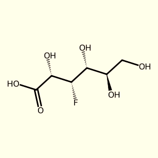 O=C(O)[C@H](O)[C@@H](F)[C@H](O)[C@H](O)CO